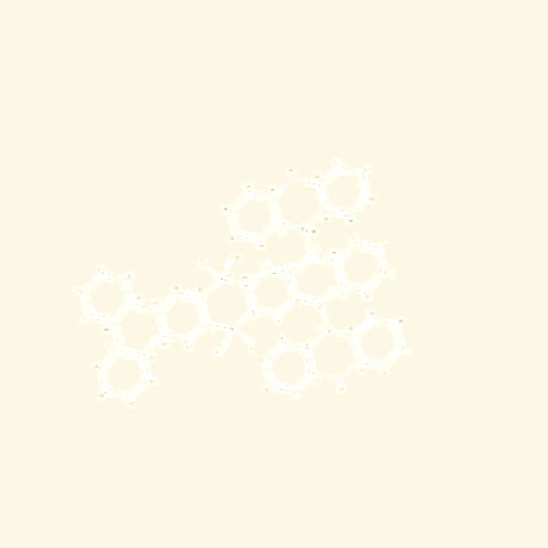 CC1(C)c2cc3c(N4c5ccccc5Sc5ccccc54)c4ccccc4c(N4c5ccccc5Sc5ccccc54)c3cc2C(C)(C)c2cc3c4ccccc4c4ccccc4c3cc21